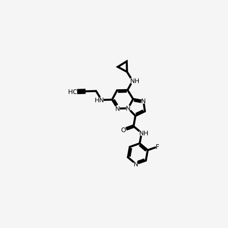 C#CCNc1cc(NC2CC2)c2ncc(C(=O)Nc3ccncc3F)n2n1